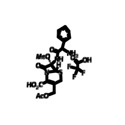 CO[C@@]1(NC(=O)C(N)c2ccccc2)C(=O)N2C(C(=O)O)=C(COC(C)=O)CS[C@H]21.O=C(O)C(F)(F)F